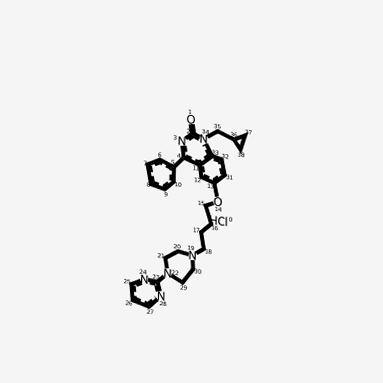 Cl.O=c1nc(-c2ccccc2)c2cc(OCCCCN3CCN(c4ncccn4)CC3)ccc2n1CC1CC1